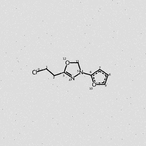 ClCCC1=NN(c2ccco2)CO1